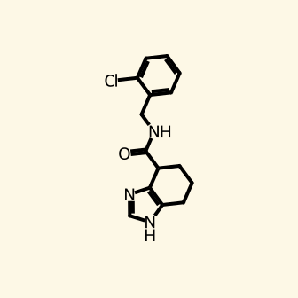 O=C(NCc1ccccc1Cl)C1CCCc2[nH]cnc21